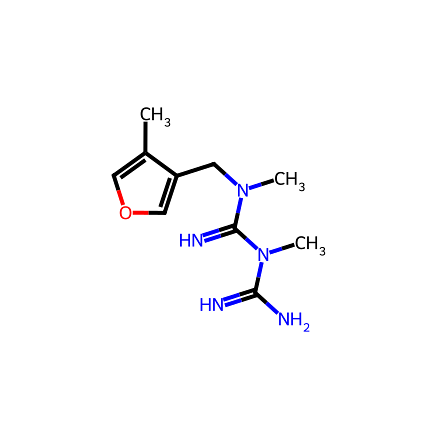 Cc1cocc1CN(C)C(=N)N(C)C(=N)N